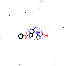 Nc1cnc2c(cnn2S(=O)(=O)c2ccccc2)c1NC1CCCN1C(=O)O